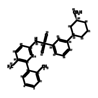 Cc1ccccc1-c1nc(NS(=O)(=O)c2cccc(N3CCC[C@@H](C(=O)O)C3)n2)ccc1C(F)(F)F